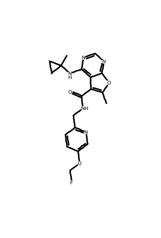 Cc1oc2ncnc(NC3(C)CC3)c2c1C(=O)NCc1ccc(OCF)cn1